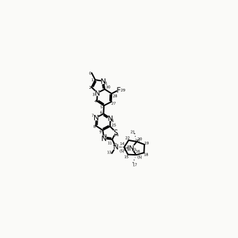 Cc1cn2cc(-c3ncc4nc(N(C)[C@H]5C[C@]6(C)CC[C@](C)(C5)N6)sc4n3)cc(F)c2n1